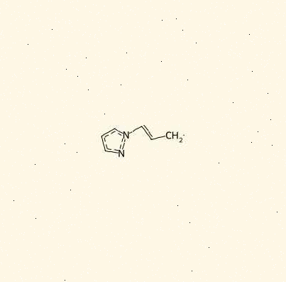 [CH2]C=Cn1cccn1